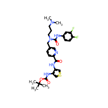 CN(C)CCCN(Cc1ccc(C(=O)Nc2cscc2NC(=O)OC(C)(C)C)nc1)C(=O)Nc1ccc(F)c(F)c1